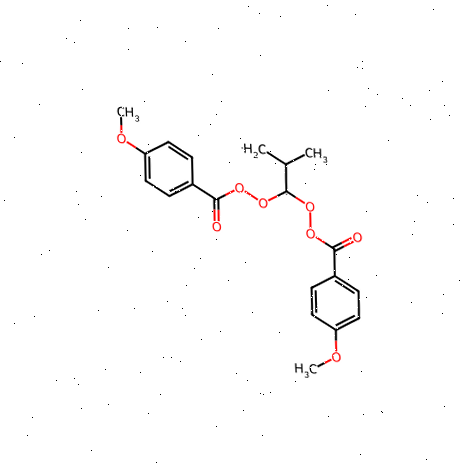 [CH2]C(C)[C](OOC(=O)c1ccc(OC)cc1)OOC(=O)c1ccc(OC)cc1